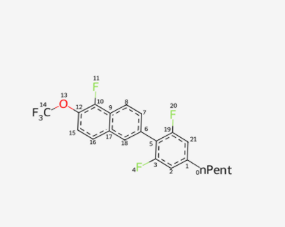 CCCCCc1cc(F)c(-c2ccc3c(F)c(OC(F)(F)F)ccc3c2)c(F)c1